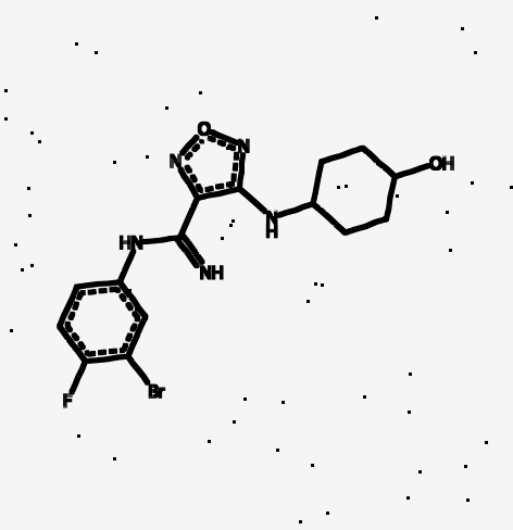 N=C(Nc1ccc(F)c(Br)c1)c1nonc1NC1CCC(O)CC1